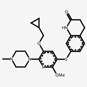 COc1nc(N2CCN(C)CC2)c(OCC2CC2)cc1Sc1ccc2c(c1)NC(=O)CC2